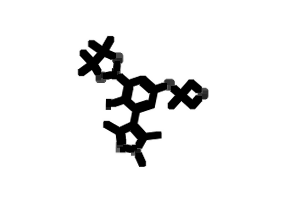 Cc1nn(C)c(C)c1-c1cc(OC2(C)COC2)cc(B2OC(C)(C)C(C)(C)O2)c1F